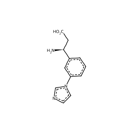 N[C@@H](CC(=O)O)c1cccc(-n2ccnc2)c1